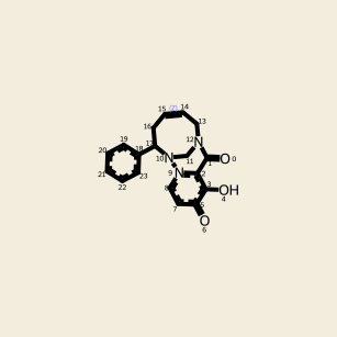 O=C1c2c(O)c(=O)ccn2N2CN1C/C=C\CC2c1ccccc1